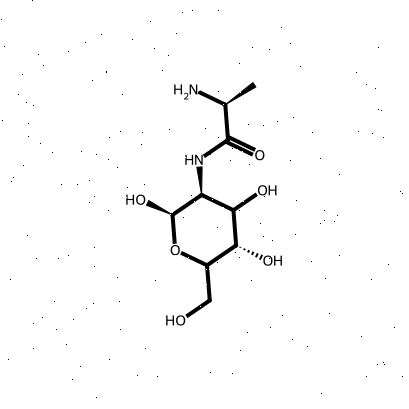 C[C@H](N)C(=O)N[C@H]1C(O)[C@H](O)C(CO)O[C@H]1O